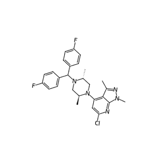 Cc1nn(C)c2nc(Cl)cc(N3C[C@@H](C)N(C(c4ccc(F)cc4)c4ccc(F)cc4)C[C@@H]3C)c12